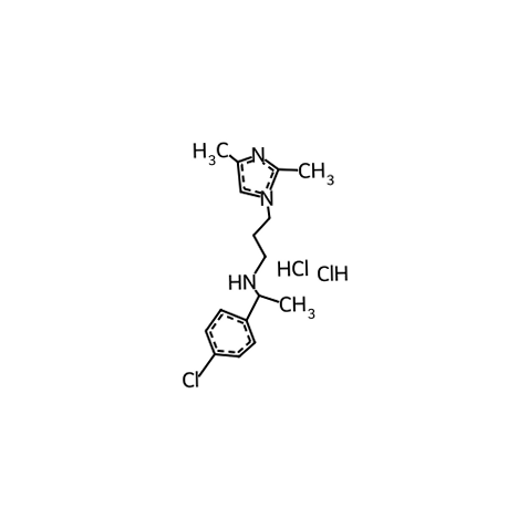 Cc1cn(CCCNC(C)c2ccc(Cl)cc2)c(C)n1.Cl.Cl